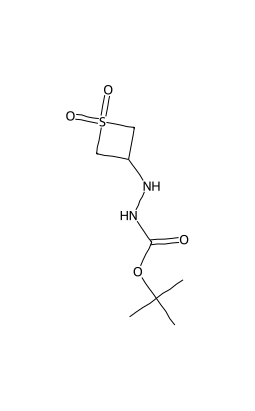 CC(C)(C)OC(=O)NNC1CS(=O)(=O)C1